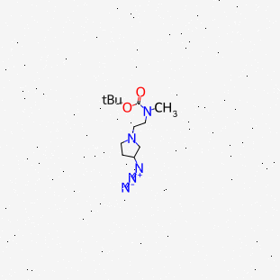 CN(CCN1CCC(N=[N+]=[N-])C1)C(=O)OC(C)(C)C